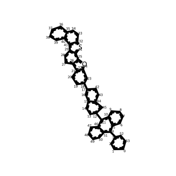 c1ccc(-c2c3ccccc3c(-c3ccc4cc(-c5ccc6c(c5)oc5c6ccc6c5sc5ccc7ccccc7c56)ccc4c3)c3ccccc23)cc1